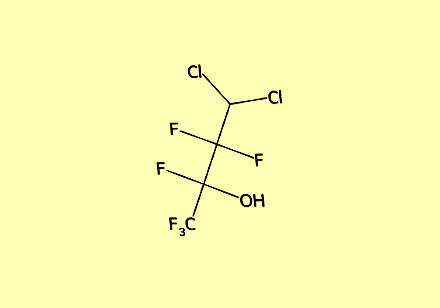 OC(F)(C(F)(F)F)C(F)(F)C(Cl)Cl